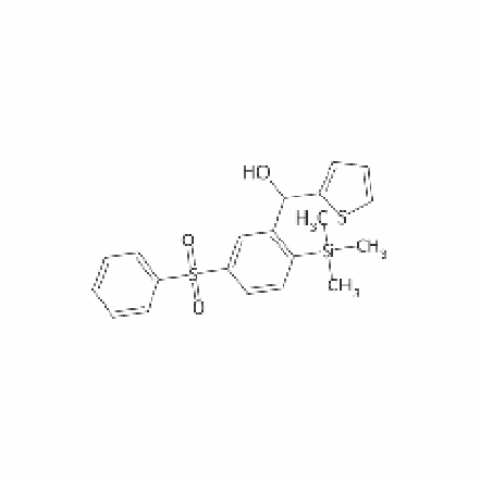 C[Si](C)(C)c1ccc(S(=O)(=O)c2ccccc2)cc1C(O)c1cccs1